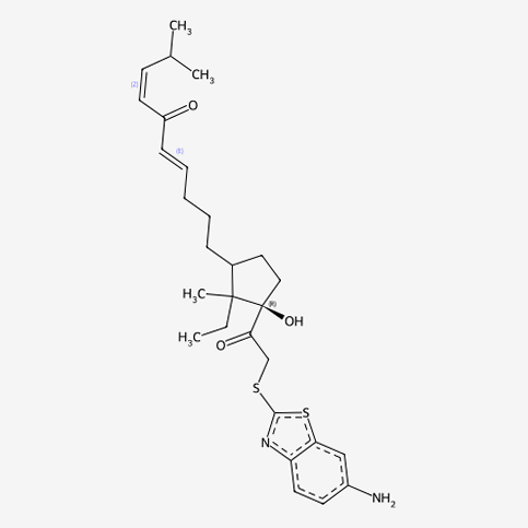 CCC1(C)C(CCC/C=C/C(=O)/C=C\C(C)C)CC[C@]1(O)C(=O)CSc1nc2ccc(N)cc2s1